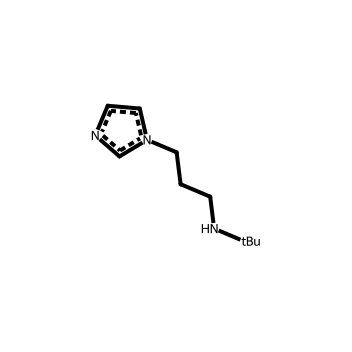 CC(C)(C)NCCCn1ccnc1